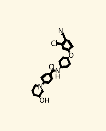 N#Cc1ccc(O[C@H]2CC[C@H](NC(=O)c3ccc(N4CCCC(O)C4)cc3)CC2)cc1Cl